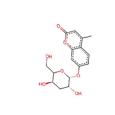 Cc1cc(=O)oc2cc(O[C@H]3OC(CO)[C@H](O)C[C@H]3O)ccc12